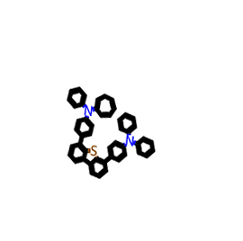 C1=CCC=C(N(c2ccccc2)c2ccc(-c3cccc4c3sc3c(-c5ccc(N(c6ccccc6)c6ccccc6)cc5)cccc34)cc2)C=C1